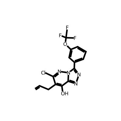 C=CCc1c(Cl)nn2c(-c3cccc(OC(F)(F)F)c3)nnc2c1O